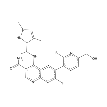 CC1=CN(C)NC1C(C)Nc1c(C(N)=O)cnc2cc(F)c(-c3ccc(CO)nc3F)cc12